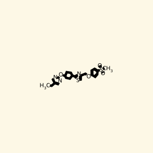 CCc1cnc(OC2CCC(c3nc(COc4ccc(S(C)(=O)=O)cc4)cs3)CC2)nc1